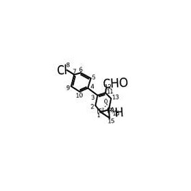 C[C@]12CC(c3ccc(Cl)cc3)=C(C=O)C[C@H]1C2